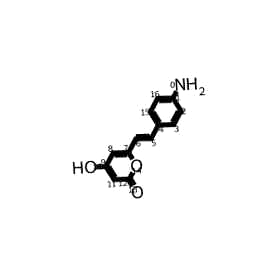 Nc1ccc(/C=C/c2cc(O)cc(=O)o2)cc1